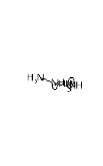 NCCCCCNC(=O)CCCC[C@H]1NC(=O)NCS1